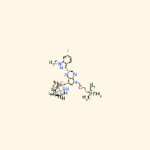 [2H]C([2H])([2H])C(NC(=O)c1cn(COCC[Si](C)(C)C)c2ncc(-c3nn(C)c4cc(F)ccc34)nc12)(C([2H])([2H])[2H])C([2H])([2H])[2H]